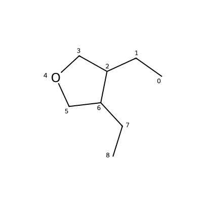 CCC1COCC1CC